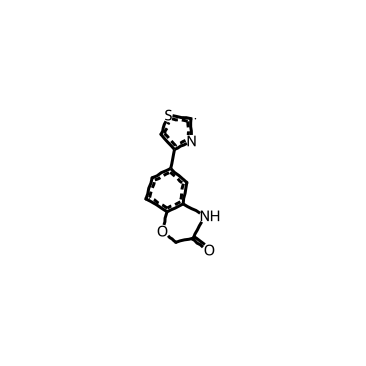 O=C1COc2ccc(-c3cs[c]n3)cc2N1